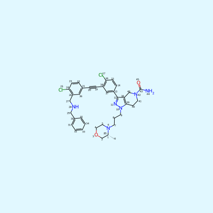 C[C@@H]1COCCN1CCCn1nc(-c2ccc(Cl)c(C#Cc3ccc(Cl)c(CNCc4ccccc4)c3)c2)c2c1CCN(C(N)=O)C2